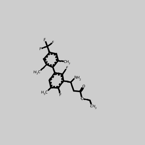 CCOC(=O)CC(N)c1c(F)c(C)cc(-c2c(C)cc(C(F)(F)F)cc2C)c1F